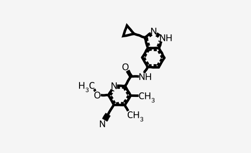 COc1nc(C(=O)Nc2ccc3[nH]nc(C4CC4)c3c2)c(C)c(C)c1C#N